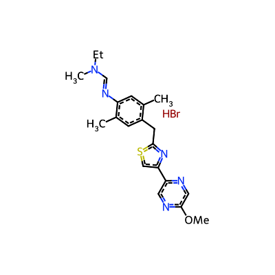 Br.CCN(C)C=Nc1cc(C)c(Cc2nc(-c3cnc(OC)cn3)cs2)cc1C